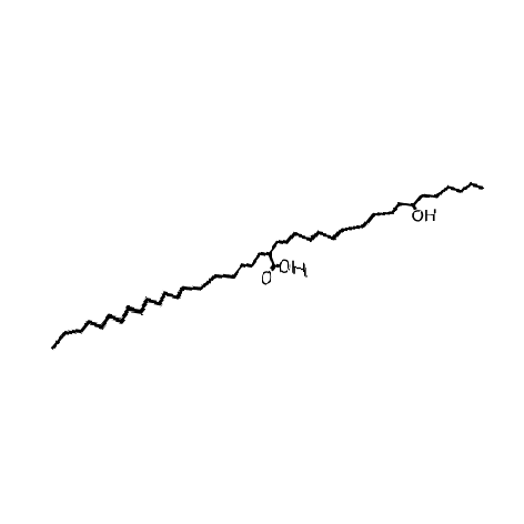 CCCCCCCCCCCCCCCCCCCCC(CCCCCCCCCCCC(O)CCCCCC)C(=O)O